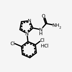 Cl.NC(=O)Nc1nccn1-c1c(Cl)cccc1Cl